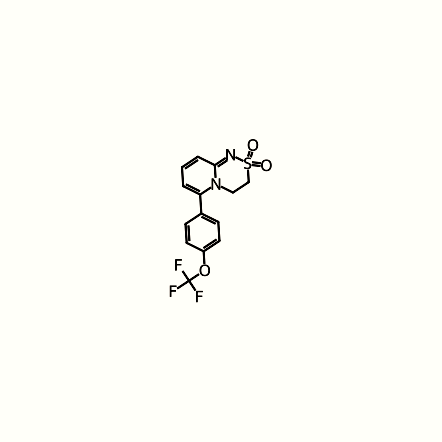 O=S1(=O)CCN2C(c3ccc(OC(F)(F)F)cc3)=CC=CC2=N1